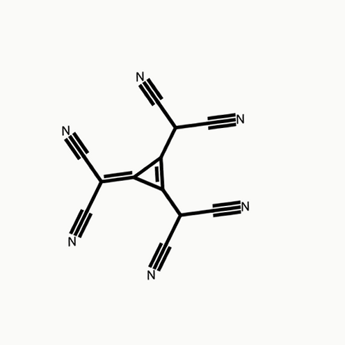 N#CC(C#N)=C1C(C(C#N)C#N)=C1C(C#N)C#N